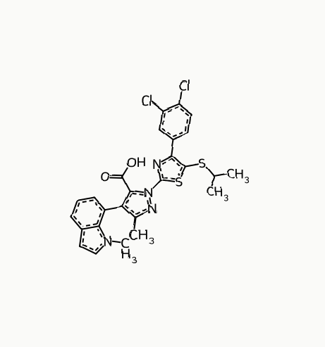 Cc1nn(-c2nc(-c3ccc(Cl)c(Cl)c3)c(SC(C)C)s2)c(C(=O)O)c1-c1cccc2ccn(C)c12